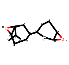 CC(C)C12CC(C3CCC4OC4C3)CCC1O2